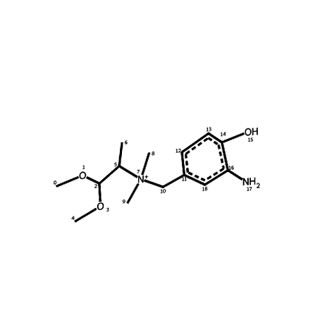 COC(OC)C(C)[N+](C)(C)Cc1ccc(O)c(N)c1